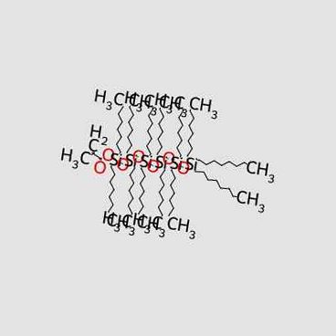 C=C(C)C(=O)O[Si](CCCCCCCC)(CCCCCCCC)O[Si](CCCCCCCC)(CCCCCCCC)O[Si](CCCCCCCC)(CCCCCCCC)O[Si](CCCCCCCC)(CCCCCCCC)O[Si](CCCCCCCC)(CCCCCCCC)O[Si](CCCCCCCC)(CCCCCCCC)CCCCCCCC